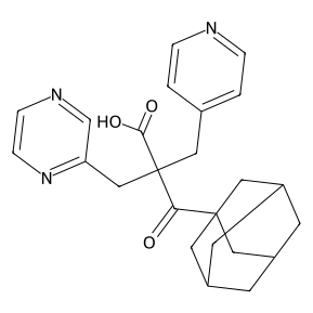 O=C(O)C(Cc1ccncc1)(Cc1cnccn1)C(=O)C12CC3CC(CC(C3)C1)C2